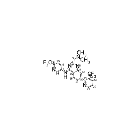 CN(C)Cc1nc(Nc2ccc(C(F)(F)F)nc2)c2ccc(-c3ncccc3C(F)(F)F)cc2n1